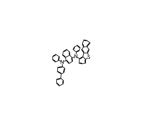 c1ccc(-c2ccc(N(c3ccccc3)c3ccc(N(c4ccccc4)c4cccc5sc6cc7ccccc7cc6c45)c4ccccc34)cc2)cc1